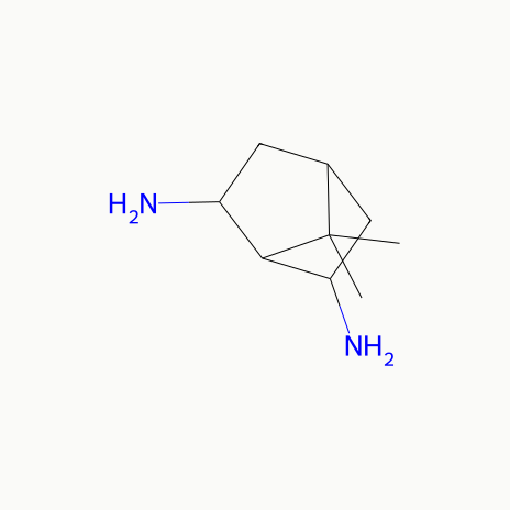 CC1(C)C2CC(N)C1C(N)C2